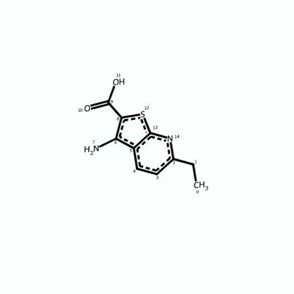 CCc1ccc2c(N)c(C(=O)O)sc2n1